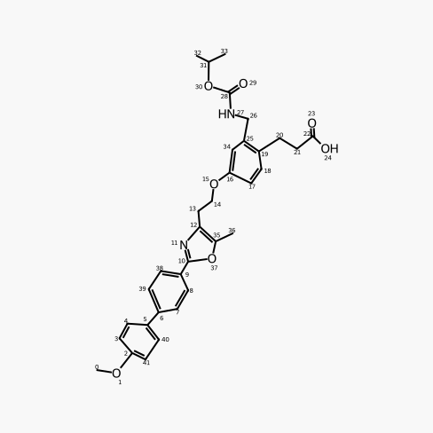 COc1ccc(-c2ccc(-c3nc(CCOc4ccc(CCC(=O)O)c(CNC(=O)OC(C)C)c4)c(C)o3)cc2)cc1